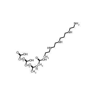 CC(=O)O.CC(=O)O.CC(=O)O.CC(=O)O.CCCNCCNCCCNCCN